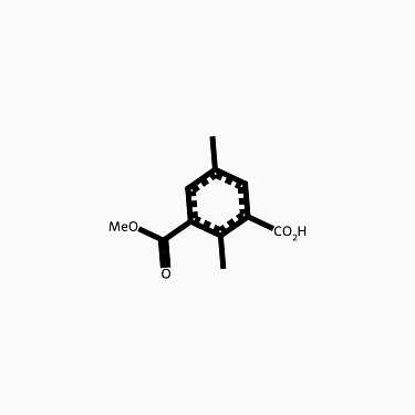 COC(=O)c1cc(C)cc(C(=O)O)c1C